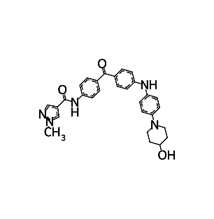 Cn1cc(C(=O)Nc2ccc(C(=O)c3ccc(Nc4ccc(N5CCC(O)CC5)cc4)cc3)cc2)cn1